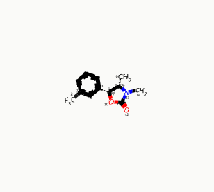 C[C@H]1[C@@H](c2cccc(C(F)(F)F)c2)OC(=O)N1C